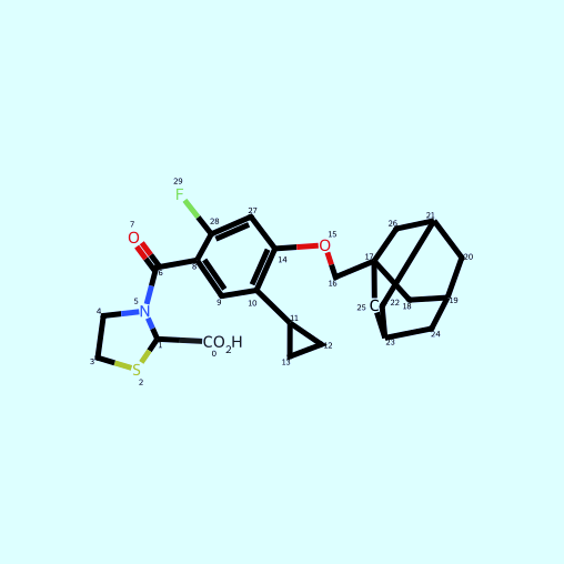 O=C(O)C1SCCN1C(=O)c1cc(C2CC2)c(OCC23CC4CC(CC(C4)C2)C3)cc1F